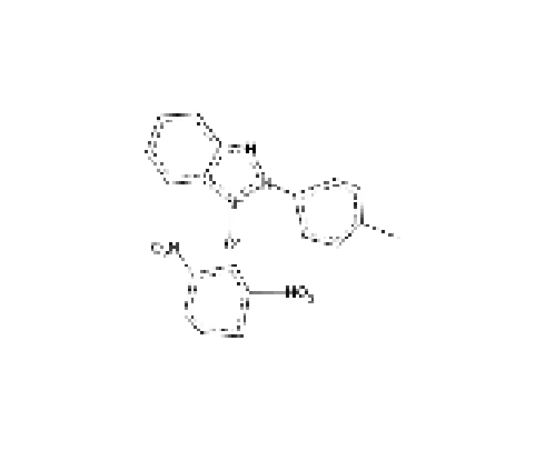 Cc1ccc(-n2nc3ccccc3[n+]2[O-])cc1.O=[N+]([O-])c1cccc([N+](=O)[O-])c1